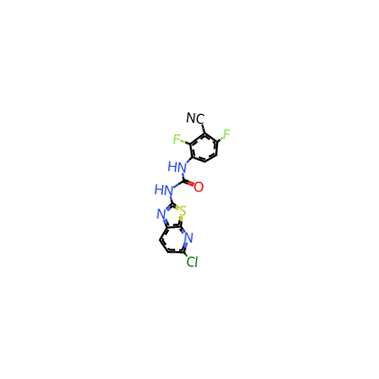 N#Cc1c(F)ccc(NC(=O)Nc2nc3ccc(Cl)nc3s2)c1F